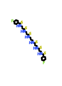 Fc1ccc(C(=S)NCCC(=S)NCCC(=S)NCCCNC(=S)CCNC(=S)CCNC(=S)c2ccc(F)cc2)cc1